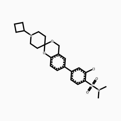 CN(C)S(=O)(=O)c1ccc(-c2ccc3c(c2)COC2(CCN(C4CCC4)CC2)O3)cc1Cl